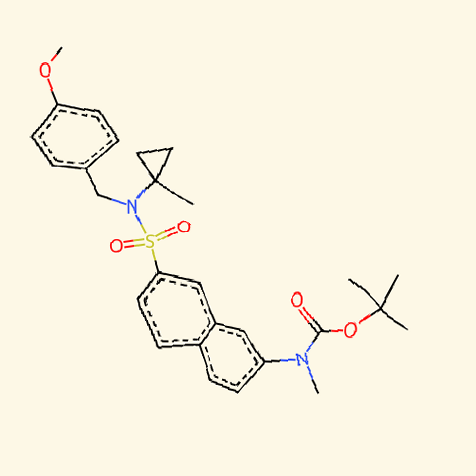 COc1ccc(CN(C2(C)CC2)S(=O)(=O)c2ccc3ccc(N(C)C(=O)OC(C)(C)C)cc3c2)cc1